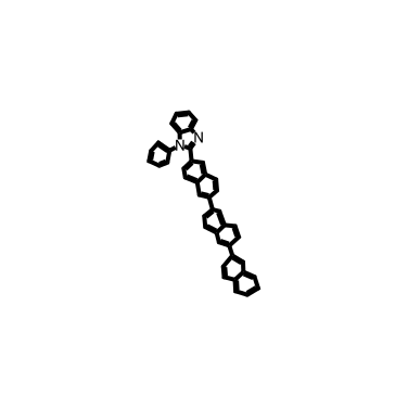 c1ccc(-n2c(-c3ccc4cc(-c5ccc6cc(-c7ccc8ccccc8c7)ccc6c5)ccc4c3)nc3ccccc32)cc1